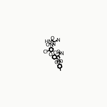 Cc1ccc(S(=O)(=O)n2cc(C(=O)N(C)C)c3cc(Oc4c(Cl)cc(-n5nc(C#N)c(=O)[nH]c5=O)cc4Cl)ccc32)cc1